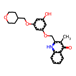 Cc1c(COc2cc(O)cc(OCC3CCOCC3)c2)[nH]c2ccccc2c1=O